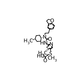 CC(C)(Sc1cnc(NC(=O)N(CCc2ccc3c(c2)CCO3)[C@H]2CC[C@H](C)CC2)s1)C(=O)O